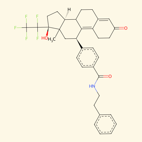 CC12C[C@H](c3ccc(C(=O)NCCc4ccccc4)cc3)C3=C4CCC(=O)C=C4CCC3[C@@H]1CC[C@@]2(O)C(F)(F)C(F)(F)F